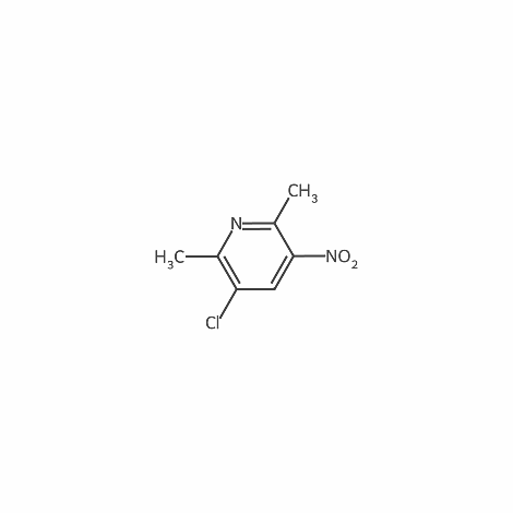 Cc1nc(C)c([N+](=O)[O-])cc1Cl